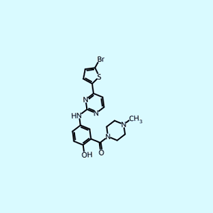 CN1CCN(C(=O)c2cc(Nc3nccc(-c4ccc(Br)s4)n3)ccc2O)CC1